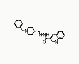 O=C(NN=CC1CCN(Cc2ccccc2)CC1)c1cnc2ccccc2c1